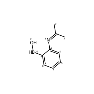 CC(C)=Nc1ccccc1BO